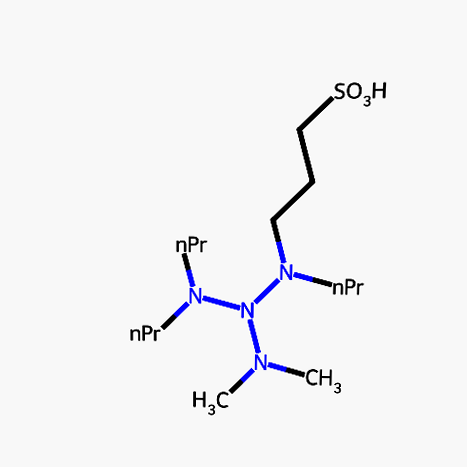 CCCN(CCC)N(N(C)C)N(CCC)CCCS(=O)(=O)O